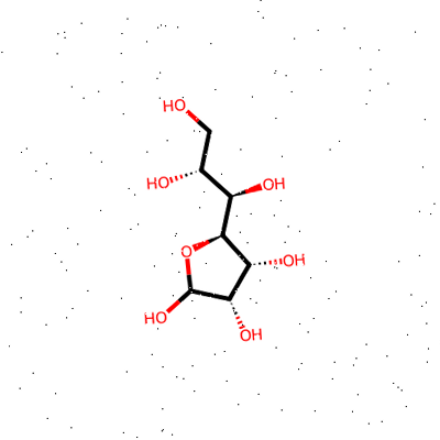 OC[C@@H](O)[C@@H](O)[C@@H]1OC(O)[C@@H](O)[C@H]1O